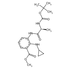 COC(=O)c1cccc(NC(=O)[C@H](C)NC(=O)OC(C)(C)C)c1NC1CC1